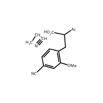 C#N.CC.COc1cc(C#N)ccc1CC(C(C)=O)C(=O)O